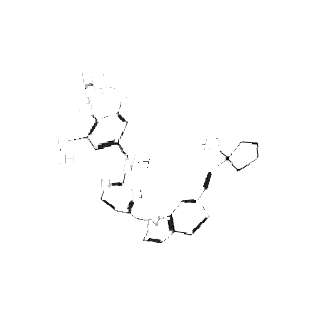 COc1cc(Nc2nccc(-n3ccc4ccc(C#CC5(O)CCCC5)cc43)n2)cc(OC)c1OC